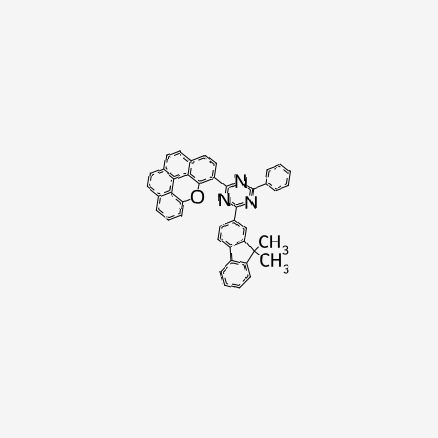 CC1(C)c2ccccc2-c2ccc(-c3nc(-c4ccccc4)nc(-c4ccc5ccc6ccc7cccc8c7c6c5c4O8)n3)cc21